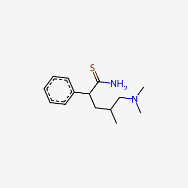 CC(CC(C(N)=S)c1ccccc1)CN(C)C